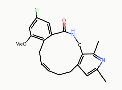 COc1cc(Cl)cc2c1C/C=C\CCc1cc(C)nc(C)c1CNC2=O